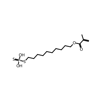 C=C(C)C(=O)OCCCCCCCCCCSP(O)(O)=S